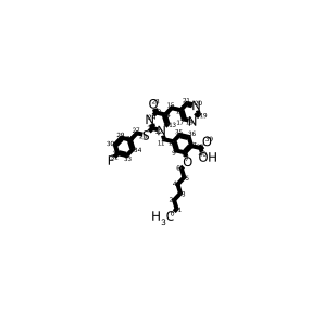 CCCCCCCOc1cc(Cn2cc(Cc3cncnc3)c(=O)nc2SCc2ccc(F)cc2)ccc1C(=O)O